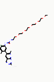 CNc1ncc2cc(-c3cc(NC(=O)NCCOCCOCCOCCOCCOCC(=O)O)c(F)cc3C)c(C)nc2n1